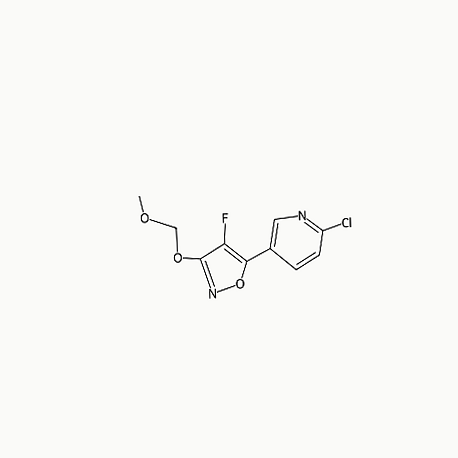 COCOc1noc(-c2ccc(Cl)nc2)c1F